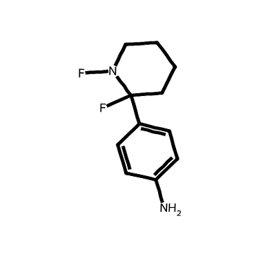 Nc1ccc(C2(F)CCCCN2F)cc1